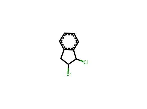 ClC1c2ccccc2CC1Br